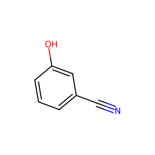 N#Cc1c[c]cc(O)c1